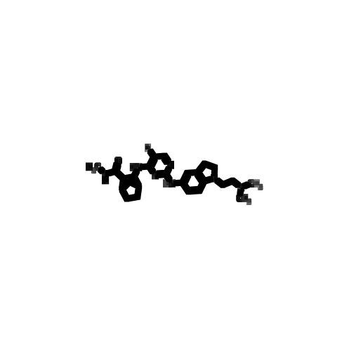 CNC(=O)C1=C(Nc2nc(Nc3ccc4c(c3)CCN4CCN(C)C)ncc2F)C2CCC1C2